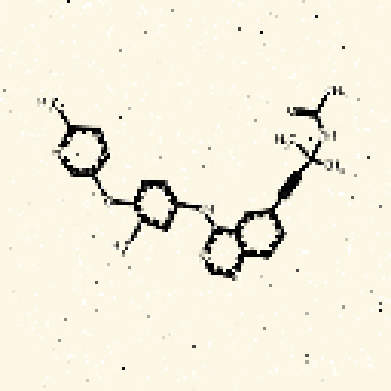 CC(=O)NC(C)(C)C#Cc1ccc2ncnc(Nc3ccc(Oc4ccc(C)nc4)c(C)c3)c2c1